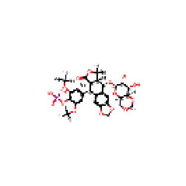 [2H]C([2H])([2H])Oc1cc([C@@H]2c3cc4c(cc3[C@@H](O[C@@H]3O[C@@H]5CO[C@@H](C)O[C@H]5[C@H](O)[C@H]3O)[C@H]3C([2H])([2H])OC(=O)[C@]23[2H])OCO4)cc(OC([2H])([2H])[2H])c1OP(=O)(O)O